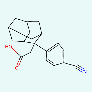 N#Cc1ccc(C2(CC(=O)O)C3CC4CC(C3)CC2C4)cc1